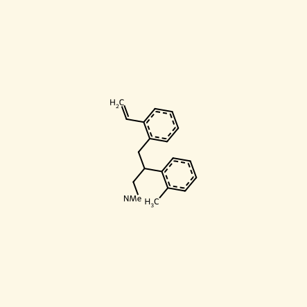 C=Cc1ccccc1CC(CNC)c1ccccc1C